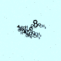 C=C[C@@H]1C[C@]1(NC(=O)C1C[C@@H](Oc2ncc(OC)c3ccccc23)CN1C(=O)OC(C)(C)C)C(=O)NS(=O)(=O)C1CC1